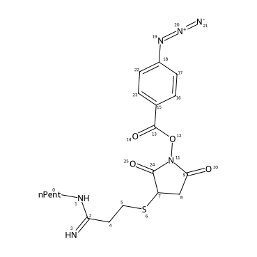 CCCCCNC(=N)CCSC1CC(=O)N(OC(=O)c2ccc(N=[N+]=[N-])cc2)C1=O